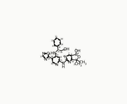 CC1(C)OB(O)c2cnc(Nc3cc(N[C@H](CO)c4ccccc4)c(-c4ncno4)cn3)nc21